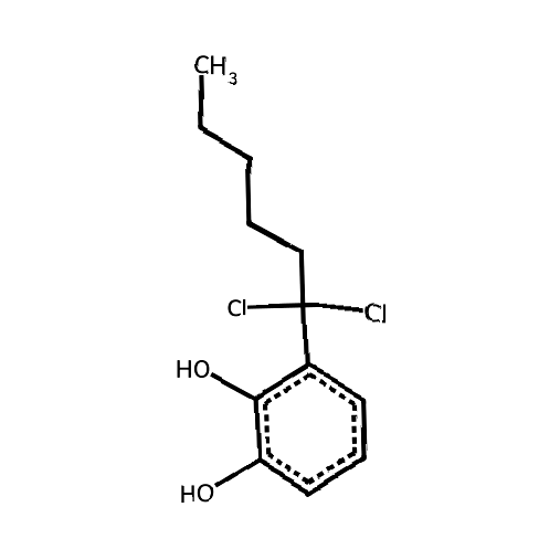 CCCCCC(Cl)(Cl)c1cccc(O)c1O